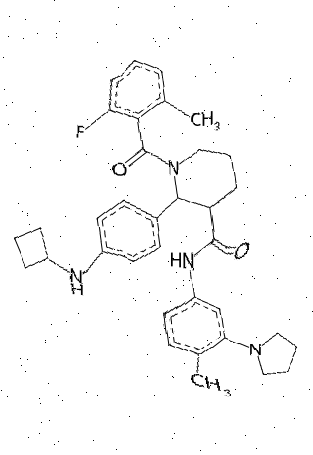 Cc1ccc(NC(=O)C2CCCN(C(=O)c3c(C)cccc3F)C2c2ccc(NC3CCC3)cc2)cc1N1CCCC1